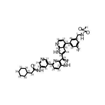 CS(=O)(=O)NCc1cc(F)cc(-c2ccnc3[nH]c(-c4n[nH]c5ccc(-c6cncc(NC(=O)CC7CCCCC7)c6)nc45)cc23)c1